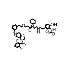 O=C1COc2c(CCNCCN(C(=O)CCOCCc3cccc(CN4CCC5(CC4)CN(C(=O)c4c(F)cccc4F)CCO5)c3)C3CCCCC3)ccc(O)c2N1